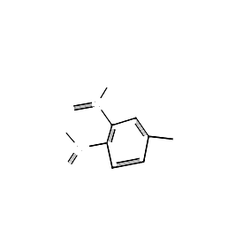 Cc1ccc([N+](=O)[O-])c([N+](=O)[O-])c1